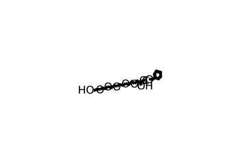 OCCOCCOCCOCCOCCOCC(O)OCOCc1ccccc1